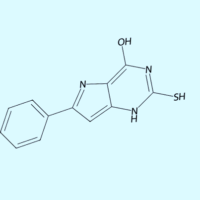 Oc1nc(S)[nH]c2cc(-c3ccccc3)nc1-2